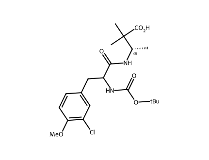 COc1ccc(CC(NC(=O)OC(C)(C)C)C(=O)N[C@@H](C)C(C)(C)C(=O)O)cc1Cl